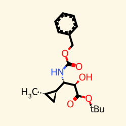 C[C@H]1C[C@@H]1[C@H](NC(=O)OCc1ccccc1)[C@@H](O)C(=O)OC(C)(C)C